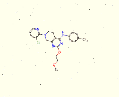 CCOCCOc1nc2c(c(Nc3ccc(C(F)(F)F)cc3)n1)CCN(c1ncccc1Cl)C2